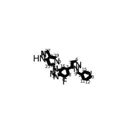 Fc1cc(-c2ccnn2Cc2ccccc2)cc2c1nnn2-c1cc2[nH]ncc2cn1